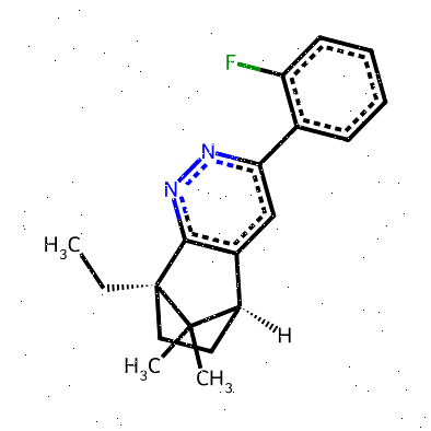 CC[C@]12CC[C@H](c3cc(-c4ccccc4F)nnc31)C2(C)C